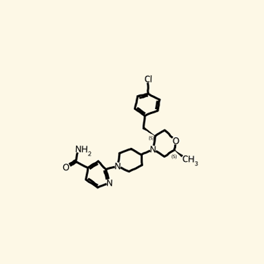 C[C@H]1CN(C2CCN(c3cc(C(N)=O)ccn3)CC2)[C@@H](Cc2ccc(Cl)cc2)CO1